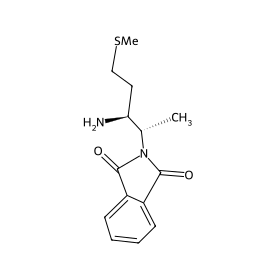 CSCC[C@H](N)[C@H](C)N1C(=O)c2ccccc2C1=O